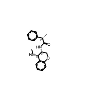 CN[C@@H]1c2ccccc2OC[C@H]1NC(=O)[C@@H](C)c1ccccc1